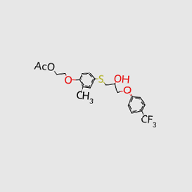 CC(=O)OCCOc1ccc(SCC(O)COc2ccc(C(F)(F)F)cc2)cc1C